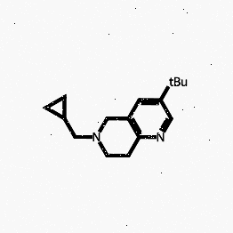 CC(C)(C)c1cnc2c(c1)CN(CC1CC1)CC2